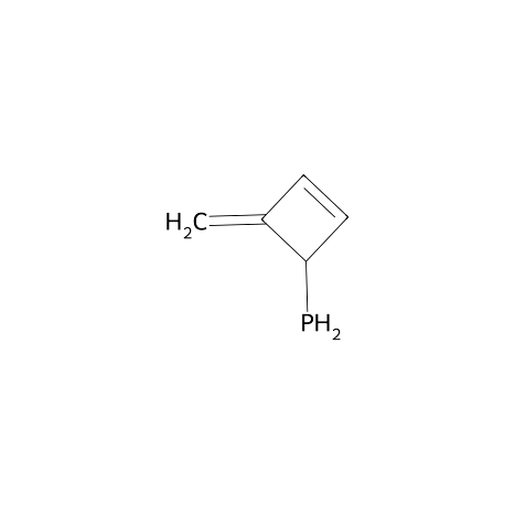 C=C1C=CC1P